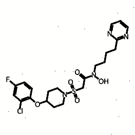 O=C(CS(=O)(=O)N1CCC(Oc2ccc(F)cc2Cl)CC1)N(O)CCCCc1ncccn1